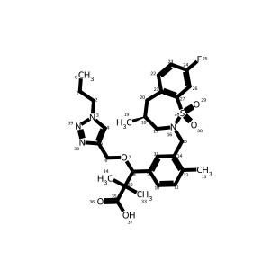 CCCn1cc(COC(c2ccc(C)c(CN3C[C@@H](C)Cc4ccc(F)cc4S3(=O)=O)c2)C(C)(C)C(=O)O)nn1